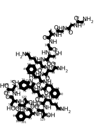 CC(NC(=O)CNC(=O)CNC(=O)CN)C(=O)NCC(=O)NC(CS)C(=O)NC(CCCCN)C(=O)NC(CC(N)=O)C(=O)NC(Cc1ccccc1)C(=O)NC(Cc1ccccc1)C(=O)NC(Cc1c[nH]c2ccccc12)C(=O)NC(CCCCN)C(=O)NC(C(=O)NC(Cc1ccccc1)C(=O)NC(C(=O)NC(CO)C(=O)NC(CS)C(=O)O)C(C)O)C(C)O